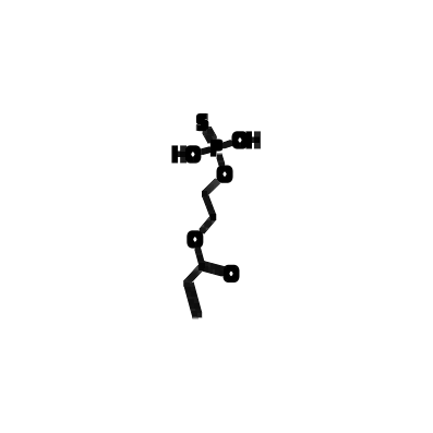 C=CC(=O)OCCOP(O)(O)=S